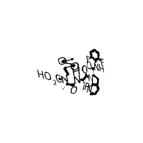 CC(C)[C@H](NC(=O)[C@H](C)N(CCS(C)(=O)=O)C(=O)O)C(=O)N1c2ncccc2C[C@H]1C(=O)Nc1c(F)cccc1F